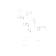 C[C@H](NC(=O)C1CCC1)C(=O)N[C@H]1N=C(c2ccccc2)c2ccccc2N(C)C1=O